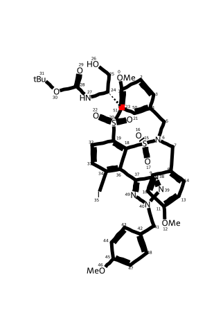 COc1ccc(CN(Cc2ccc(OC)cc2)S(=O)(=O)c2c(S(=O)(=O)C[C@@H](CO)NC(=O)OC(C)(C)C)ccc(I)c2-c2nnn(Cc3ccc(OC)cc3)n2)cc1